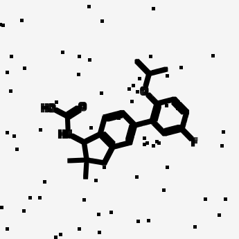 CC(C)Oc1ccc(F)cc1-c1ccc2c(c1)CC(C)(C)C2NC(=O)O